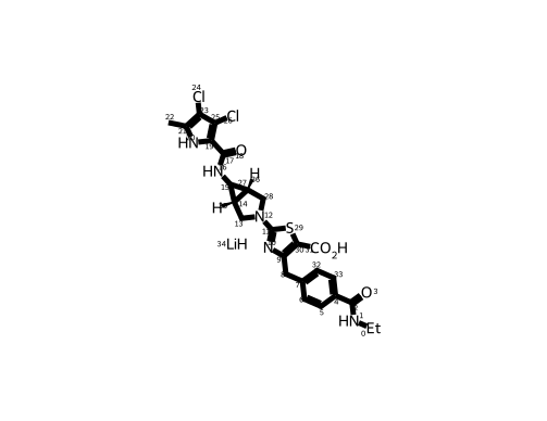 CCNC(=O)c1ccc(Cc2nc(N3C[C@@H]4C(NC(=O)c5[nH]c(C)c(Cl)c5Cl)[C@@H]4C3)sc2C(=O)O)cc1.[LiH]